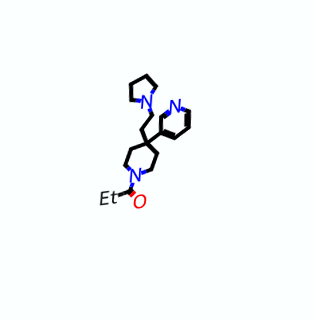 CCC(=O)N1CCC(CCN2CCCC2)(c2cccnc2)CC1